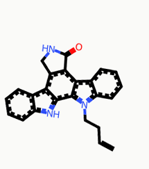 C=CCCn1c2ccccc2c2c3c(c4c5ccccc5[nH]c4c21)CNC3=O